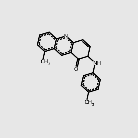 Cc1ccc(NC2C=Cc3nc4cccc(C)c4cc3C2=O)cc1